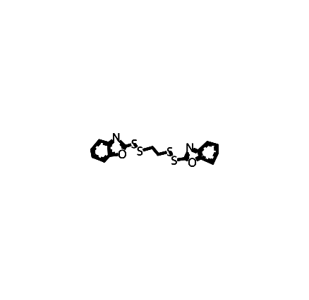 c1ccc2oc(SSCCSSc3nc4ccccc4o3)nc2c1